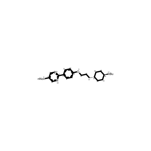 CCCCCCCCCc1cnc(-c2ccc(OCCC[C@H]3CC[C@H](CCCC)CC3)cc2)nc1